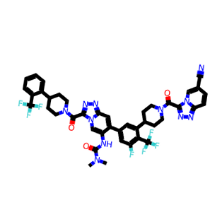 CN(C)C(=O)Nc1cn2c(C(=O)N3CCC(c4ccccc4C(F)(F)F)CC3)nnc2cc1-c1cc(F)c(C(F)(F)F)c(C2CCN(C(=O)c3nnc4ccc(C#N)cn34)CC2)c1